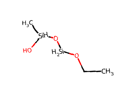 CCO[SiH2]O[SiH](C)O